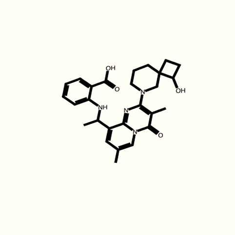 Cc1cc(C(C)Nc2ccccc2C(=O)O)c2nc(N3CCCC4(CCC4O)C3)c(C)c(=O)n2c1